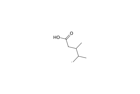 [CH2]C(C)C(C)CC(=O)O